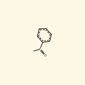 C[P](=O)c1ccccc1